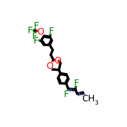 C/C=C/C(F)=C(\F)c1ccc(C2COC(CCc3cc(F)c(OC(F)(F)F)c(F)c3)OC2)cc1